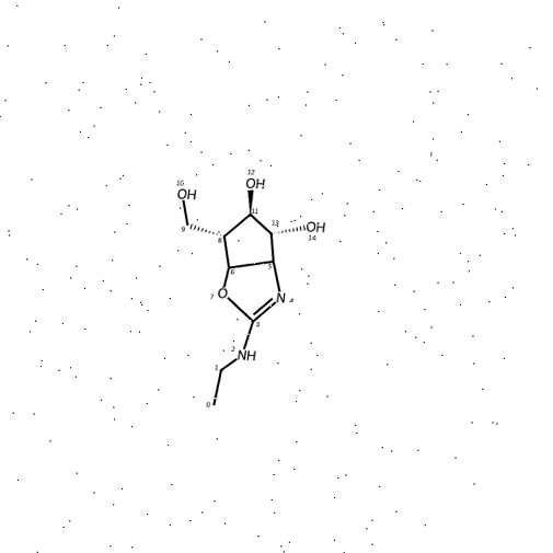 CCNC1=NC2C(O1)[C@H](CO)[C@@H](O)[C@@H]2O